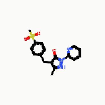 Cc1[nH]n(-c2ccccn2)c(=O)c1Cc1ccc(S(C)(=O)=O)cc1